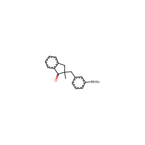 CC(=O)Nc1cccc(CC2(C)Cc3ccccc3C2=O)c1